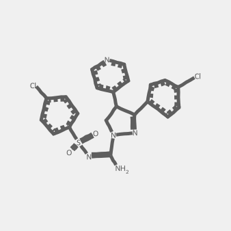 NC(=NS(=O)(=O)c1ccc(Cl)cc1)N1CC(c2ccncc2)C(c2ccc(Cl)cc2)=N1